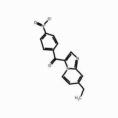 CCc1ccn2c(C(=O)c3ccc([N+](=O)[O-])cc3)cnc2c1